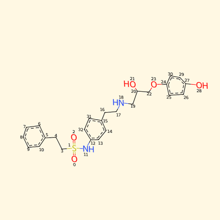 O=S(=O)(CCc1ccccc1)Nc1ccc(CCNCC(O)COc2ccc(O)cc2)cc1